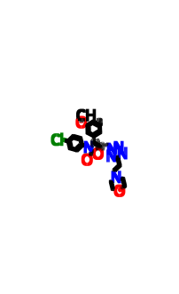 COc1cccc([C@H]2[C@H](Cn3nnc(CCN4CCOCC4)n3)OC(=O)N2c2ccc(Cl)cc2)c1